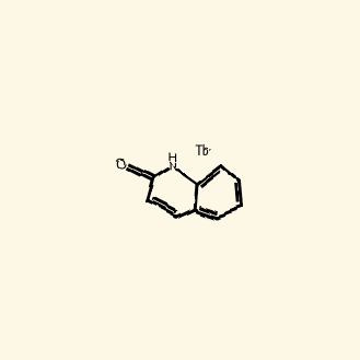 O=c1ccc2ccccc2[nH]1.[Tb]